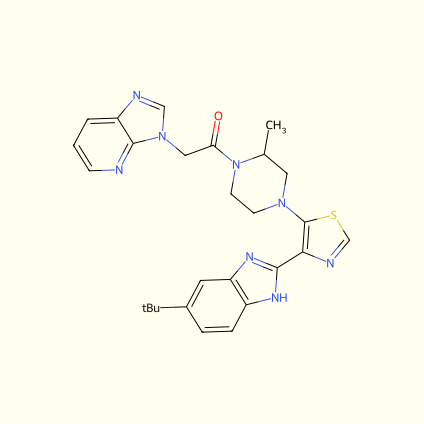 CC1CN(c2scnc2-c2nc3cc(C(C)(C)C)ccc3[nH]2)CCN1C(=O)Cn1cnc2cccnc21